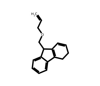 C=CCOCC1C2=C(CCC=C2)c2ccccc21